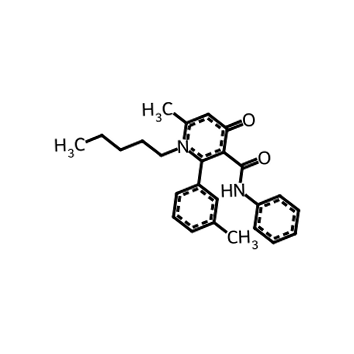 CCCCCn1c(C)cc(=O)c(C(=O)Nc2ccccc2)c1-c1cccc(C)c1